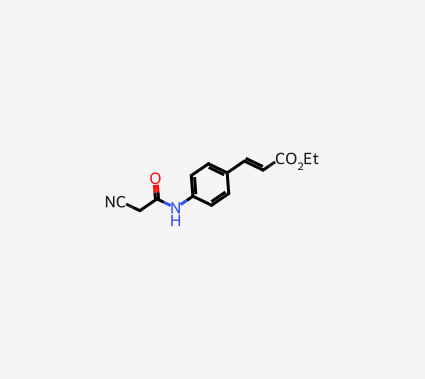 CCOC(=O)C=Cc1ccc(NC(=O)CC#N)cc1